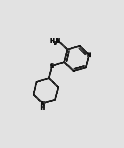 Nc1cnccc1SC1CCNCC1